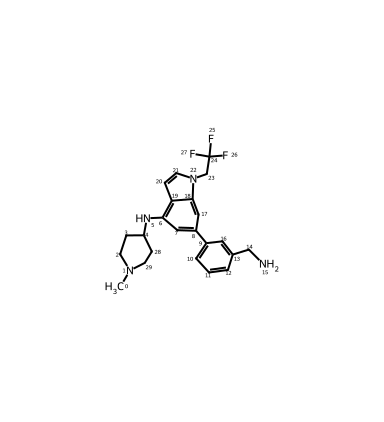 CN1CCC(Nc2cc(-c3cccc(CN)c3)cc3c2ccn3CC(F)(F)F)CC1